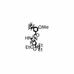 CCOc1nn2c(=N)n(CC(=O)c3cc(OC)cc(S(F)(F)(F)(F)F)c3)nc2cc1C(=O)N(CC)CC